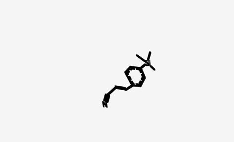 C[Si](C)(C)c1ccc(/C=C/C#N)cc1